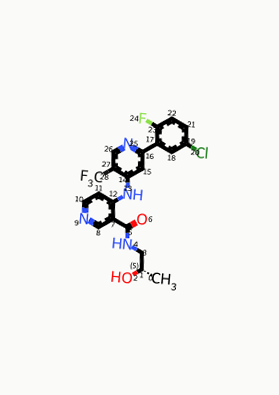 C[C@H](O)CNC(=O)c1cnccc1Nc1cc(-c2cc(Cl)ccc2F)ncc1C(F)(F)F